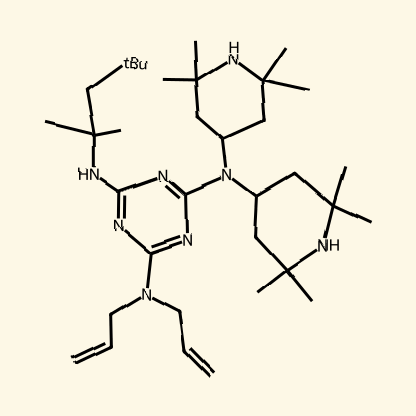 C=CCN(CC=C)c1nc(NC(C)(C)CC(C)(C)C)nc(N(C2CC(C)(C)NC(C)(C)C2)C2CC(C)(C)NC(C)(C)C2)n1